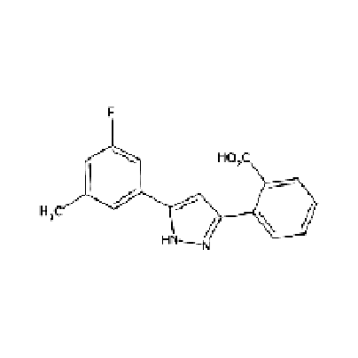 Cc1cc(F)cc(-c2cc(-c3ccccc3C(=O)O)n[nH]2)c1